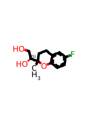 CC1([C@@H](O)CO)CCc2cc(F)ccc2O1